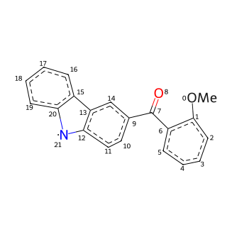 COc1ccccc1C(=O)c1ccc2c(c1)-c1ccccc1[N]2